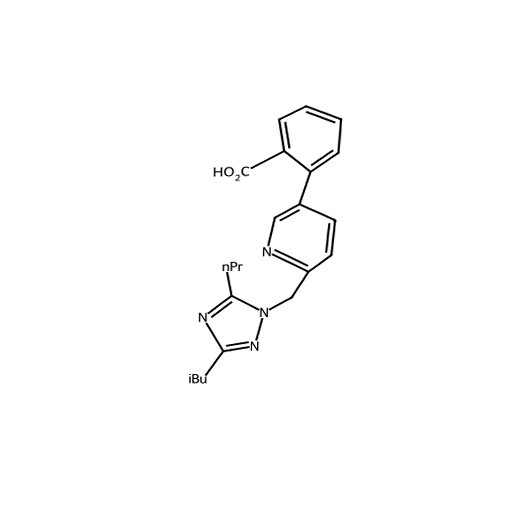 CCCc1nc(C(C)CC)nn1Cc1ccc(-c2ccccc2C(=O)O)cn1